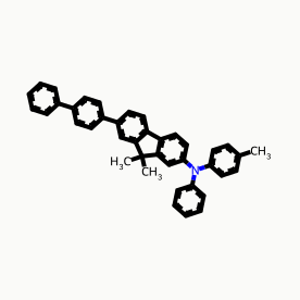 Cc1ccc(N(c2ccccc2)c2ccc3c(c2)C(C)(C)c2cc(-c4ccc(-c5ccccc5)cc4)ccc2-3)cc1